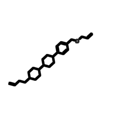 C=CCCC1CCC(C2CCC(c3ccc(COCC=C)cc3)CC2)CC1